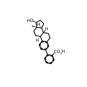 C[C@]12CC[C@@H]3c4ccc(-c5ccccc5C(=O)O)cc4CC[C@H]3[C@@H]1CC[C@@H]2O